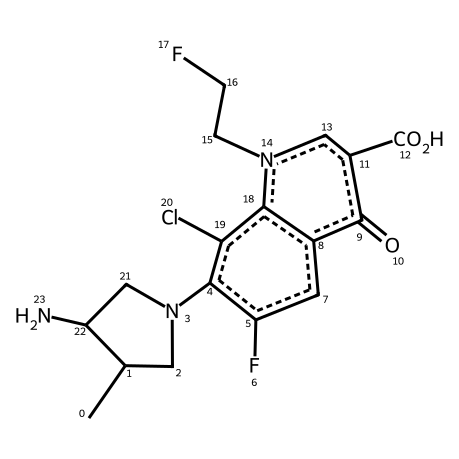 CC1CN(c2c(F)cc3c(=O)c(C(=O)O)cn(CCF)c3c2Cl)CC1N